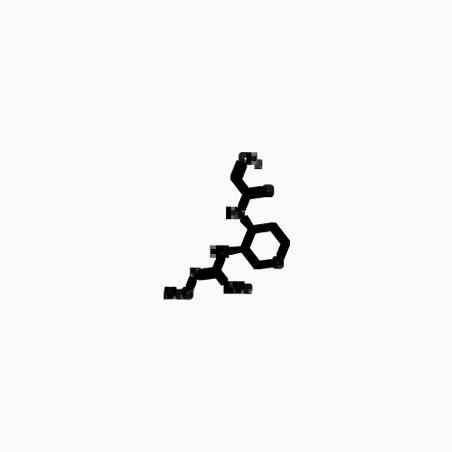 C=CC(=O)N[C@H]1CCOC[C@H]1N/C(=N/OC)NC